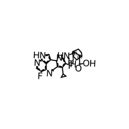 N#Cc1c(-c2c[nH]c3ncc(F)cc23)nc(N[C@@H]2C3CCC(CC3)[C@H]2C(=O)O)c(F)c1C1CC1